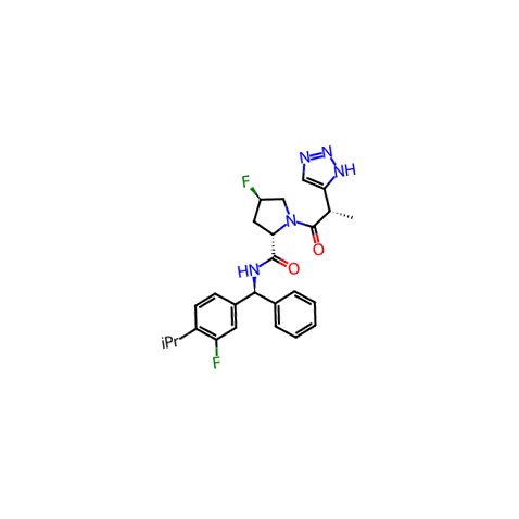 CC(C)c1ccc([C@@H](NC(=O)[C@@H]2C[C@@H](F)CN2C(=O)[C@@H](C)c2cnn[nH]2)c2ccccc2)cc1F